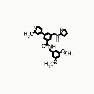 COc1cc(CNC(=O)c2cc(CNC3=NCCC3)cc(-c3ccnc(C)c3)c2)cc(OC)c1